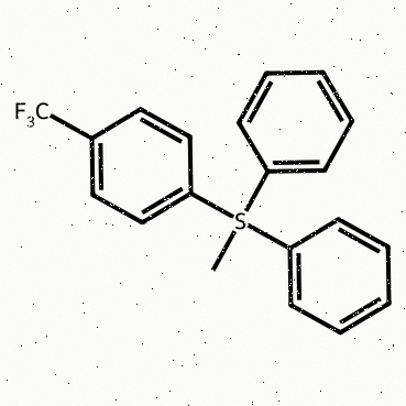 CS(c1ccccc1)(c1ccccc1)c1ccc(C(F)(F)F)cc1